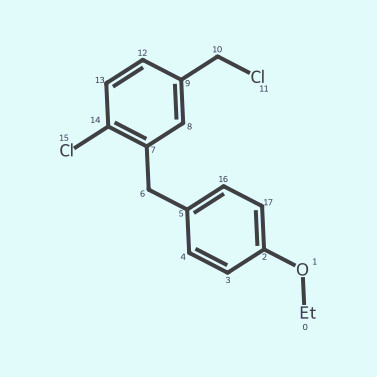 CCOc1ccc(Cc2cc(CCl)ccc2Cl)cc1